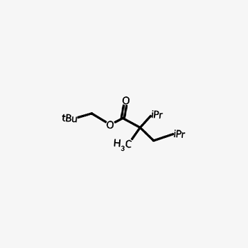 CC(C)CC(C)(C(=O)OCC(C)(C)C)C(C)C